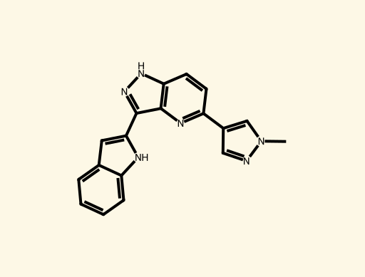 Cn1cc(-c2ccc3[nH]nc(-c4cc5ccccc5[nH]4)c3n2)cn1